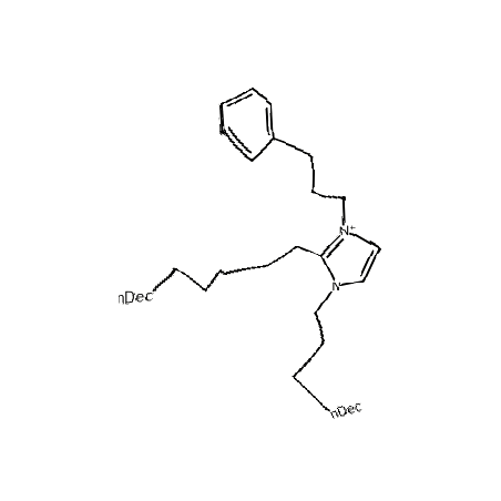 CCCCCCCCCCCCCCCc1n(CCCCCCCCCCCCC)cc[n+]1CCCc1ccccc1